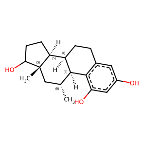 C[C@@H]1C[C@]2(C)C(O)CC[C@H]2[C@H]2CCc3cc(O)cc(O)c3[C@H]21